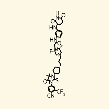 C[C@H]1CN(CCC[C@H]2CC[C@H](N3C(=S)N(c4ccc(C#N)c(C(F)(F)F)c4)C(=O)C3(C)C)CC2)C[C@@H](F)N1CC(=O)Nc1cccc(NC2CCC(=O)NC2=O)c1